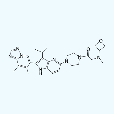 Cc1c(-c2[nH]c3ccc(N4CCN(C(=O)CN(C)C5COC5)CC4)nc3c2C(C)C)cn2ncnc2c1C